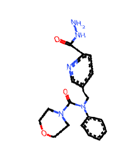 NNC(=O)c1ccc(CN(C(=O)N2CCOCC2)c2ccccc2)cn1